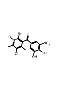 Cc1c(Cl)c(C)[n+]([O-])c(Br)c1C(=O)c1cc(O)c(O)c([N+](=O)[O-])c1